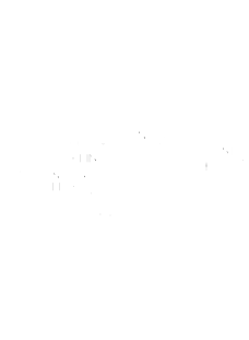 NC(=O)OC1CCCCC/C=C/C2CC2(C(=O)NCC2CC2)NC(=O)C2CCCN2C1=O